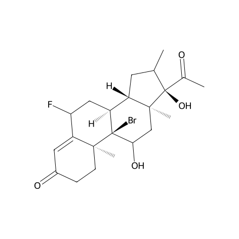 CC(=O)[C@@]1(O)C(C)C[C@H]2[C@@H]3CC(F)C4=CC(=O)CC[C@]4(C)[C@@]3(Br)C(O)C[C@@]21C